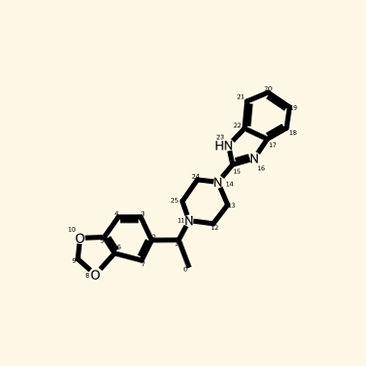 CC(c1ccc2c(c1)OCO2)N1CCN(c2nc3ccccc3[nH]2)CC1